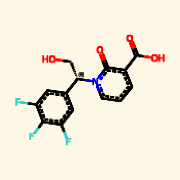 O=C(O)c1cccn([C@@H](CO)c2cc(F)c(F)c(F)c2)c1=O